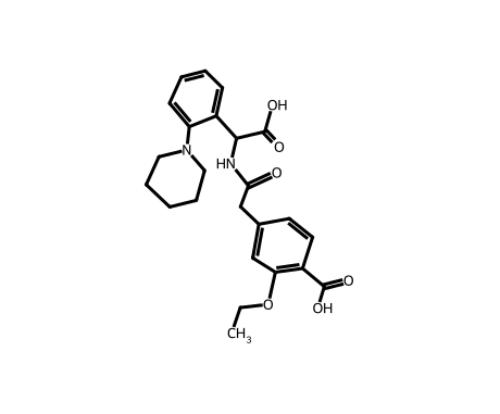 CCOc1cc(CC(=O)NC(C(=O)O)c2ccccc2N2CCCCC2)ccc1C(=O)O